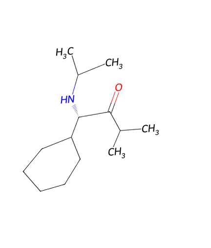 CC(C)N[C@H](C(=O)C(C)C)C1CCCCC1